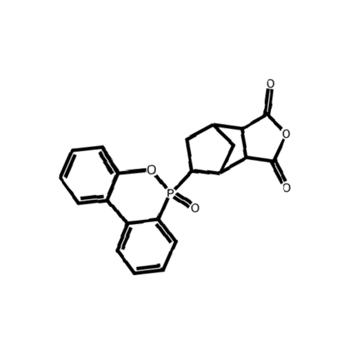 O=C1OC(=O)C2C3CC(CC3P3(=O)Oc4ccccc4-c4ccccc43)C12